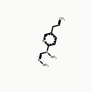 C=CCc1ccc(N(N)/C=N\N)nc1